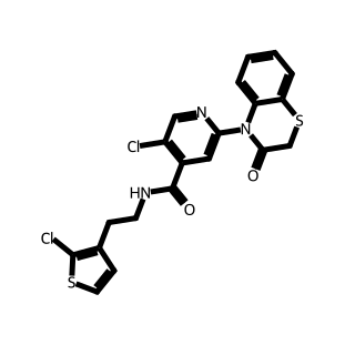 O=C(NCCc1ccsc1Cl)c1cc(N2C(=O)CSc3ccccc32)ncc1Cl